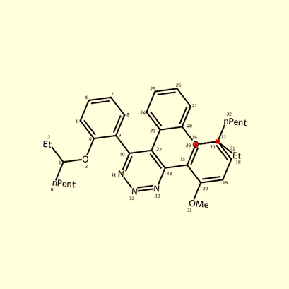 CCCCCC(CC)Oc1ccccc1-c1nnnc(-c2ccccc2OC)c1-c1ccccc1OC(CC)CCCCC